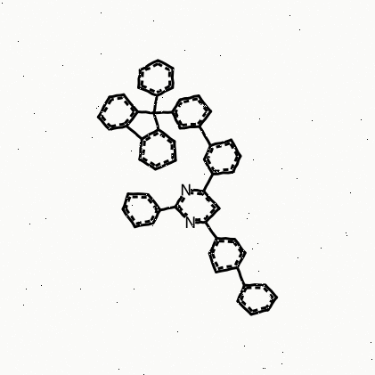 c1ccc(-c2ccc(-c3cc(-c4cccc(-c5cccc(C6(c7ccccc7)c7ccccc7-c7ccccc76)c5)c4)nc(-c4ccccc4)n3)cc2)cc1